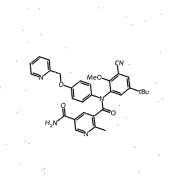 COc1c(C#N)cc(C(C)(C)C)cc1N(C(=O)c1cc(C(N)=O)cnc1C)c1ccc(OCc2ccccn2)cc1